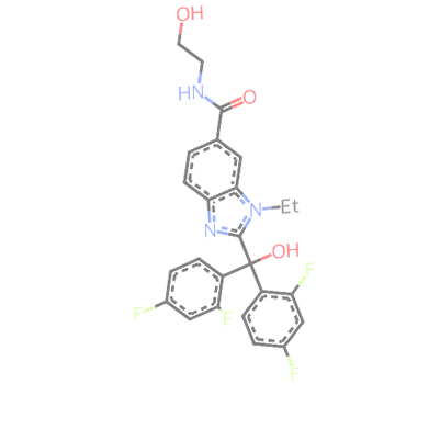 CCn1c(C(O)(c2ccc(F)cc2F)c2ccc(F)cc2F)nc2ccc(C(=O)NCCO)cc21